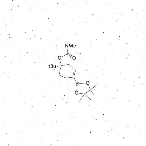 CNC(=O)OC1(C(C)(C)C)CC=C(B2OC(C)(C)C(C)(C)O2)CC1